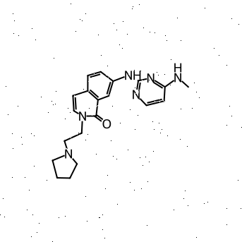 CNc1ccnc(Nc2ccc3ccn(CCN4CCCC4)c(=O)c3c2)n1